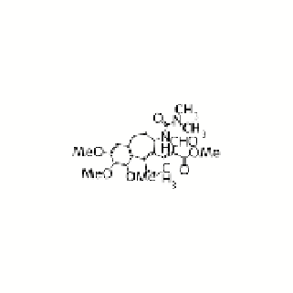 C/C=C\C1=C(/C=C(\C=O)C(=O)OC)[C@@H](NC(=O)N(C)C)CCc2cc(OC)c(OC)c(OC)c21